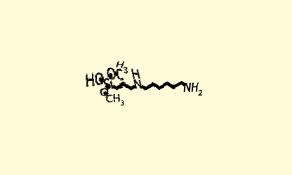 CO[Si](O)(CCCNCCCCCCN)OC